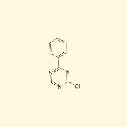 Clc1ncnc(-c2ccccc2)n1